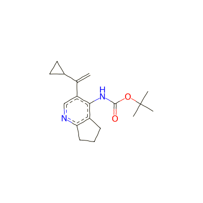 C=C(c1cnc2c(c1NC(=O)OC(C)(C)C)CCC2)C1CC1